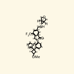 COC1CC(c2cccc(N3Cc4c(cc(CN[C@@H]5[C@@H]6COC[C@@H]65)cc4C(F)(F)F)C3=O)c2)(c2nncn2C)C1